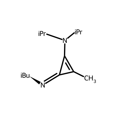 CC[C@H](C)/N=c1/c(C)c1N(C(C)C)C(C)C